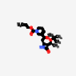 C=CCOC(=O)N1CCC=C(C(=O)C[C@H]2NC(=O)[C@@H]2[C@@H](C)O[Si](C)(C)C(C)(C)C)C1